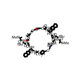 CN[C@@H](C)C(=O)N[C@H](C(=O)N1C[C@@H]2C[C@H]1C(=O)N[C@@H](Cc1ccc3ccccc3c1)C(=O)N[C@H](C(=O)O)Cc1ccc(cc1)OC/C(N=N)=C/N[C@H]1C[C@@H](C(=O)N[C@@H](Cc3ccc4ccccc4c3)C(=O)N[C@H](C(=O)OC)Cc3ccc(cc3)OCc3cn2nn3)N(C(=O)[C@@H](NC(=O)[C@H](C)NC)C(C)(C)C)C1)C(C)(C)C